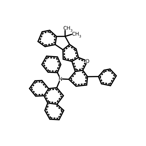 CC1(C)c2ccccc2-c2cc3c(cc21)oc1c(-c2ccccc2)ccc(N(c2ccccc2)c2cc4ccccc4c4ccccc24)c13